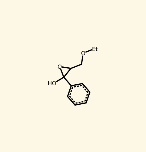 CCOCC1OC1(O)c1ccccc1